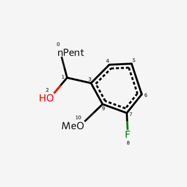 CCCCCC(O)c1cccc(F)c1OC